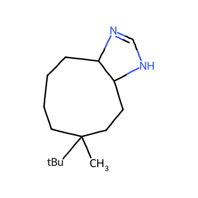 CC(C)(C)C1(C)CCCCC2N=CNC2CC1